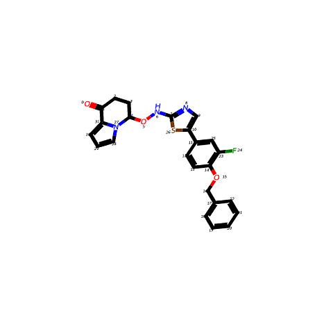 O=C1CCC(ONc2ncc(-c3ccc(OCc4ccccc4)c(F)c3)s2)n2cccc21